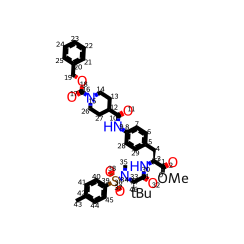 COC(=O)[C@H](Cc1ccc(NC(=O)C2CCN(C(=O)OCc3ccccc3)CC2)cc1)NC(=O)[C@@H](N(C)S(=O)(=O)c1ccc(C)cc1)C(C)(C)C